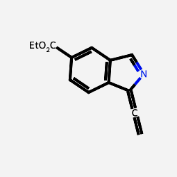 C=C=C1N=Cc2cc(C(=O)OCC)ccc21